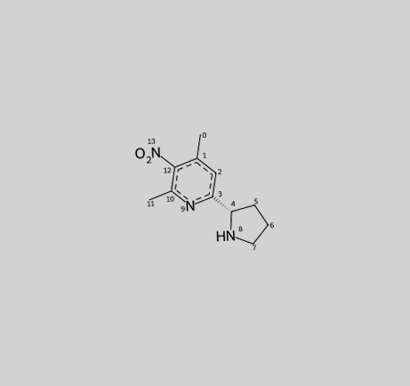 Cc1cc([C@@H]2CCCN2)nc(C)c1[N+](=O)[O-]